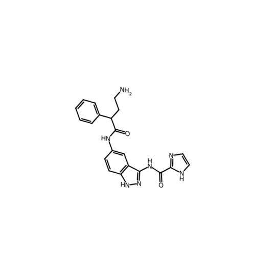 NCCC(C(=O)Nc1ccc2[nH]nc(NC(=O)c3ncc[nH]3)c2c1)c1ccccc1